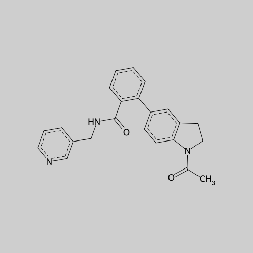 CC(=O)N1CCc2cc(-c3ccccc3C(=O)NCc3cccnc3)ccc21